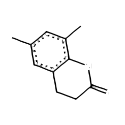 Cc1cc(C)c2c(c1)CCC(=O)N2